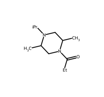 CCC(=O)N1CC(C)N(C(C)C)CC1C